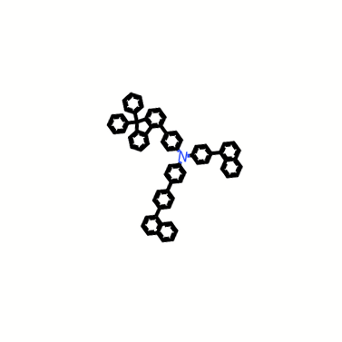 c1ccc(C2(c3ccccc3)c3ccccc3-c3c(-c4ccc(N(c5ccc(-c6ccc(-c7cccc8ccccc78)cc6)cc5)c5ccc(-c6cccc7ccccc67)cc5)cc4)cccc32)cc1